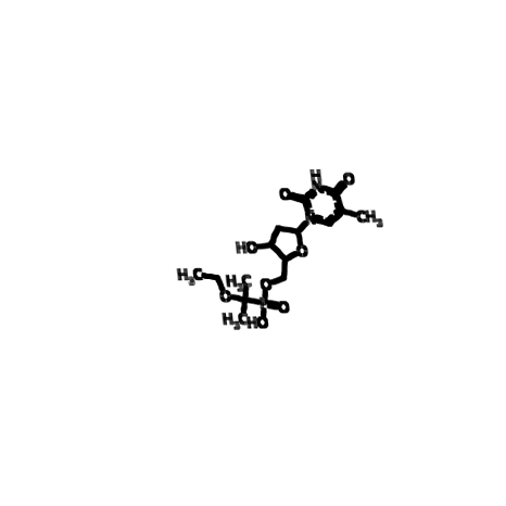 CCOC(C)(C)P(=O)(O)OCC1OC(n2cc(C)c(=O)[nH]c2=O)CC1O